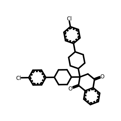 O=C1CC(C2CCC(c3ccc(Cl)cc3)CC2)(C2CCC(c3ccc(Cl)cc3)CC2)C(=O)c2ccccc21